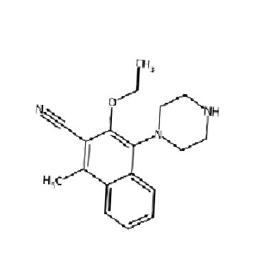 CCOc1c(C#N)c(C)c2ccccc2c1N1CCNCC1